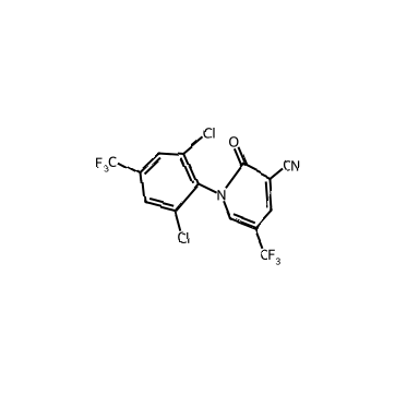 N#Cc1cc(C(F)(F)F)cn(-c2c(Cl)cc(C(F)(F)F)cc2Cl)c1=O